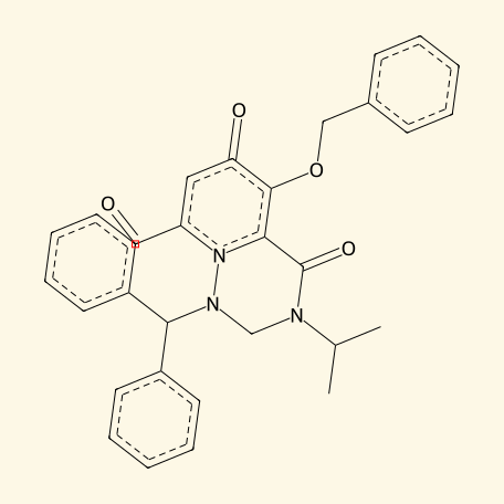 CC(C)N1CN(C(c2ccccc2)c2ccccc2)n2c(C=O)cc(=O)c(OCc3ccccc3)c2C1=O